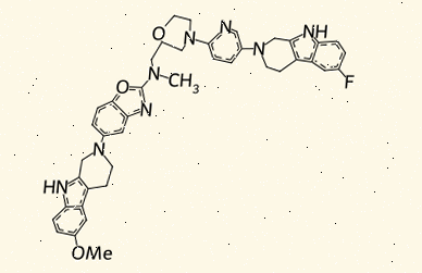 COc1ccc2[nH]c3c(c2c1)CCN(c1ccc2oc(N(C)CC4CN(c5ccc(N6CCc7c([nH]c8ccc(F)cc78)C6)cn5)CCO4)nc2c1)C3